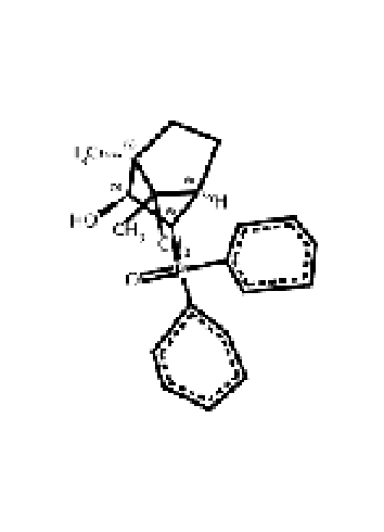 CC1(C)[C@H]2CC[C@]1(C)[C@H](O)[C@@H]2P(=O)(c1ccccc1)c1ccccc1